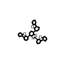 c1ccc2c(c1)oc1c(-c3nc4c(-c5cccc6c5oc5ccccc56)ccc(-c5cccc6c5oc5ccccc56)c4s3)cccc12